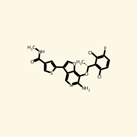 CNC(=O)c1csc(-c2coc3c(O[C@H](C)c4c(Cl)ccc(F)c4Cl)c(N)ncc23)c1